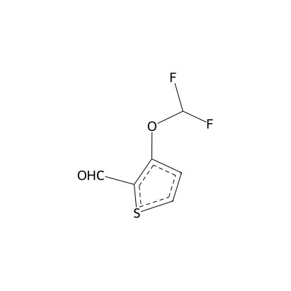 O=Cc1sccc1OC(F)F